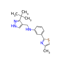 Cc1csc(-c2cccc(NCc3c[nH]nc3C(C)(C)C)c2)n1